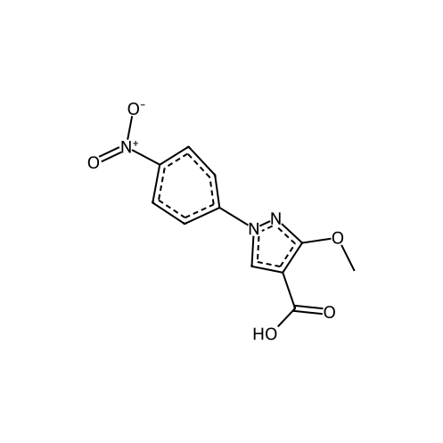 COc1nn(-c2ccc([N+](=O)[O-])cc2)cc1C(=O)O